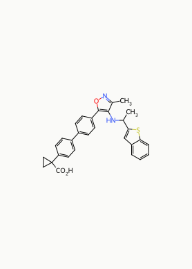 Cc1noc(-c2ccc(-c3ccc(C4(C(=O)O)CC4)cc3)cc2)c1NC(C)c1cc2ccccc2s1